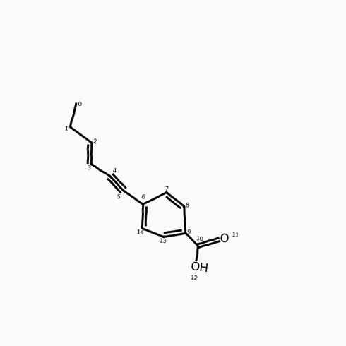 CCC=CC#Cc1ccc(C(=O)O)cc1